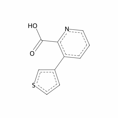 O=C(O)c1ncccc1-c1ccsc1